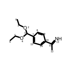 CCOC(OCC)c1ccc(C(C)=N)cc1